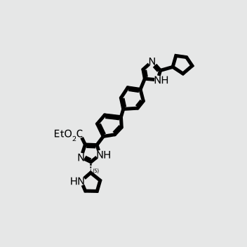 CCOC(=O)c1nc([C@@H]2CCCN2)[nH]c1-c1ccc(-c2ccc(-c3cnc(C4CCCC4)[nH]3)cc2)cc1